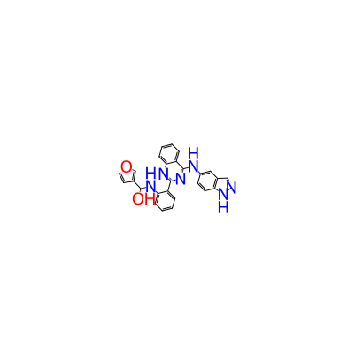 OC(Nc1ccccc1-c1nc(Nc2ccc3[nH]ncc3c2)c2ccccc2n1)c1ccoc1